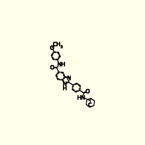 COc1ccc(NC(=O)c2ccc3[nH]c(-c4ccc(C(=O)NC5CC6CCC5CC6)cc4)nc3c2)cc1